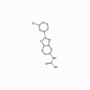 CCCC(=O)Nc1ccc2oc(-c3cccc(Cl)c3)nc2c1